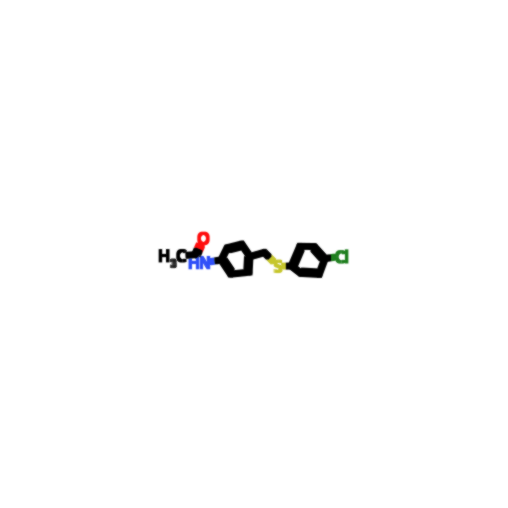 CC(=O)Nc1ccc(CSc2ccc(Cl)cc2)cc1